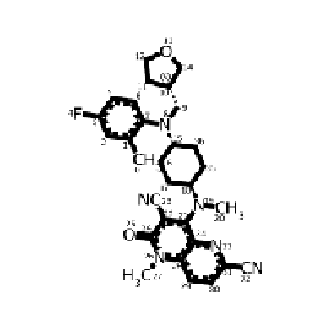 Cc1cc(F)ccc1N(C[C@@H]1CCOC1)[C@H]1CC[C@H](N(C)c2c(C#N)c(=O)n(C)c3ccc(C#N)nc23)CC1